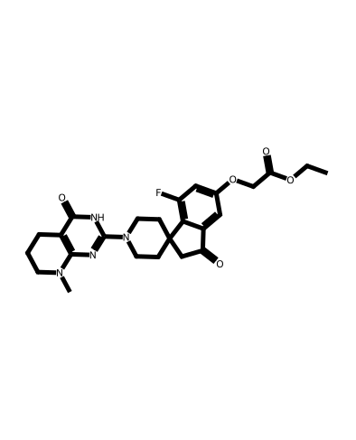 CCOC(=O)COc1cc(F)c2c(c1)C(=O)CC21CCN(c2nc3c(c(=O)[nH]2)CCCN3C)CC1